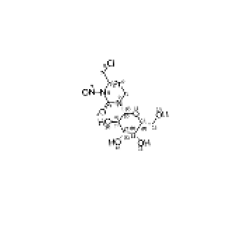 CC(C)CN(C(=O)N(CCCl)N=O)[C@@H]1O[C@H](CO)[C@H](O)[C@H](O)[C@H]1O